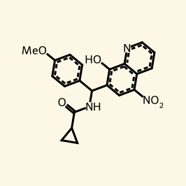 COc1ccc(C(NC(=O)C2CC2)c2cc([N+](=O)[O-])c3cccnc3c2O)cc1